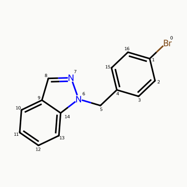 Brc1ccc(Cn2ncc3ccccc32)cc1